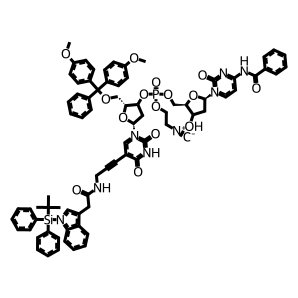 [C-]#[N+]CCOP(=O)(OC[C@H]1O[C@@H](n2ccc(NC(=O)c3ccccc3)nc2=O)CC1O)OC1C[C@H](n2cc(C#CCNC(=O)Cc3cn([Si](c4ccccc4)(c4ccccc4)C(C)(C)C)c4ccccc34)c(=O)[nH]c2=O)O[C@@H]1COC(c1ccccc1)(c1ccc(OC)cc1)c1ccc(OC)cc1